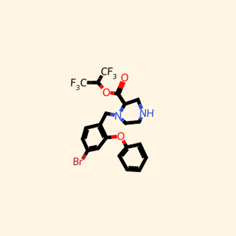 O=C(OC(C(F)(F)F)C(F)(F)F)C1CNCCN1Cc1ccc(Br)cc1Oc1ccccc1